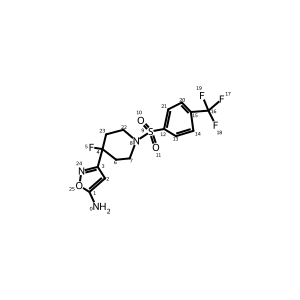 Nc1cc(C2(F)CCN(S(=O)(=O)c3ccc(C(F)(F)F)cc3)CC2)no1